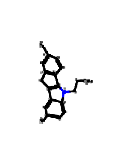 COCCn1c2c(c3cc(C(C)C)ccc31)Cc1cc(C(C)C)ccc1-2